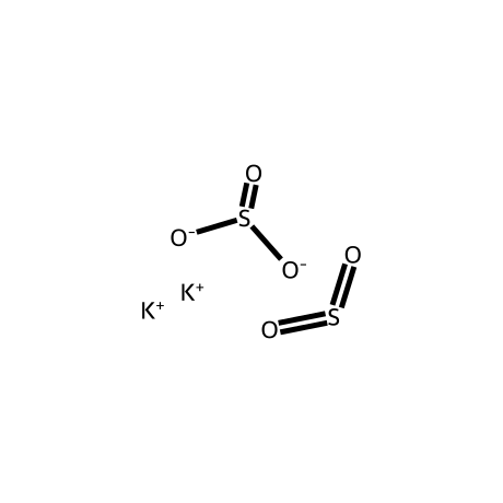 O=S([O-])[O-].O=S=O.[K+].[K+]